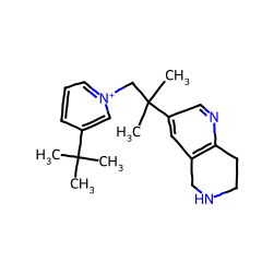 CC(C)(C)c1ccc[n+](CC(C)(C)c2cnc3c(c2)CNCC3)c1